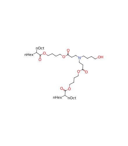 CCCCCCCCC(CCCCCC)C(=O)OCCCCOC(=O)CCN(CCCCO)CCC(=O)OCCCCOC(=O)C(CCCCCC)CCCCCCCC